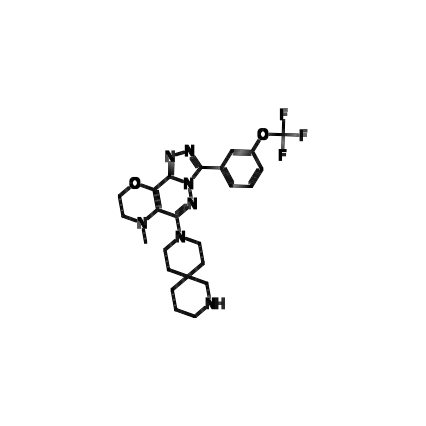 CN1CCOc2c1c(N1CCC3(CCCNC3)CC1)nn1c(-c3cccc(OC(F)(F)F)c3)nnc21